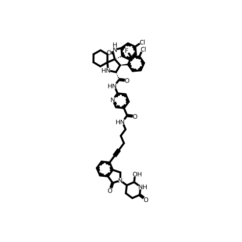 O=C1CCC(N2Cc3c(C#CCCCNC(=O)c4ccc(NC(=O)[C@@H]5NC6(CCCCC6)[C@@]6(C(=O)Nc7cc(Cl)ccc76)[C@H]5c5cccc(Cl)c5F)nc4)cccc3C2=O)C(O)N1